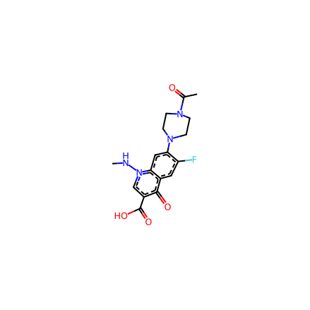 CNn1cc(C(=O)O)c(=O)c2cc(F)c(N3CCN(C(C)=O)CC3)cc21